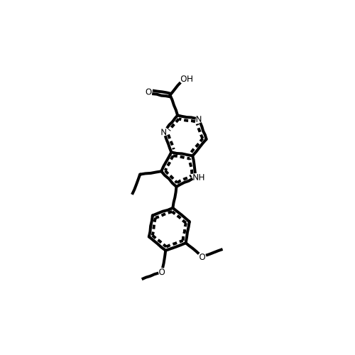 CCc1c(-c2ccc(OC)c(OC)c2)[nH]c2cnc(C(=O)O)nc12